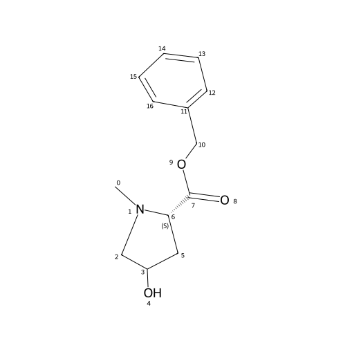 CN1CC(O)C[C@H]1C(=O)OCc1ccccc1